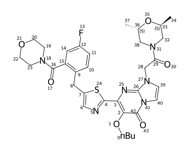 CCCCOc1c(-c2ncc(Cc3ccc(F)cc3C(=O)N3CCOCC3)s2)nc2n(CC(=O)N3C[C@H](C)O[C@@H](C)C3)ccn2c1=O